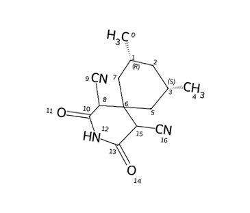 C[C@@H]1C[C@H](C)CC2(C1)C(C#N)C(=O)NC(=O)C2C#N